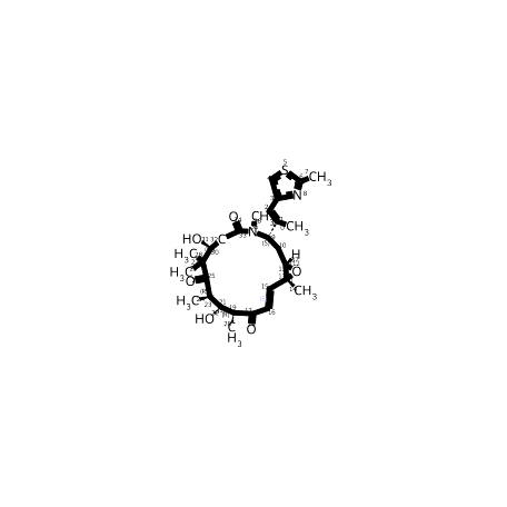 CC(=Cc1csc(C)n1)[C@@H]1C[C@@H]2O[C@]2(C)/C=C/C(=O)[C@H](C)[C@H](O)[C@@H](C)C(=O)C(C)(C)[C@@H](O)CC(=O)N1C